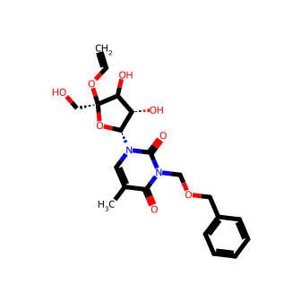 C=CO[C@]1(CO)O[C@@H](n2cc(C)c(=O)n(COCc3ccccc3)c2=O)[C@@H](O)C1O